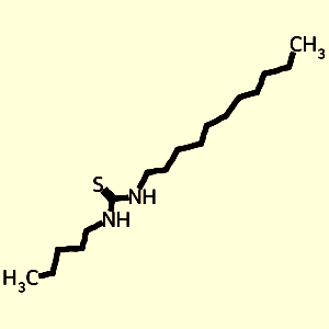 CCCCCCCCCCCNC(=S)NCCCCC